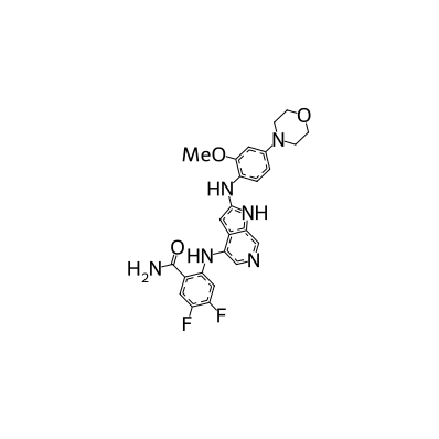 COc1cc(N2CCOCC2)ccc1Nc1cc2c(Nc3cc(F)c(F)cc3C(N)=O)cncc2[nH]1